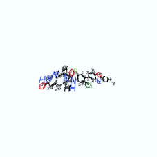 Cc1nc2cc(-c3cc(F)c(NC(=O)N4[C@H]5CC[C@@H]4c4n[nH]c(=O)cc4C5)cc3Cl)ccc2o1